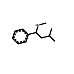 CNC(CC(C)C)c1ccccc1